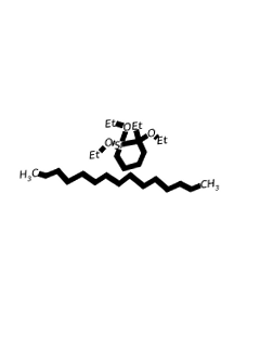 CCCCCCCCCCCCCCC.CCOC1(CC)CCCC[Si]1(OCC)OCC